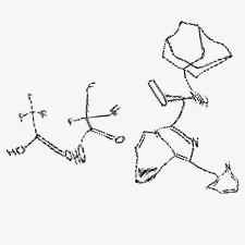 O=C(NC12CC3CC(CC(C3)C1)C2)c1nc(-c2ccccn2)c2ccccn12.O=C(O)C(F)(F)F.O=C(O)C(F)(F)F